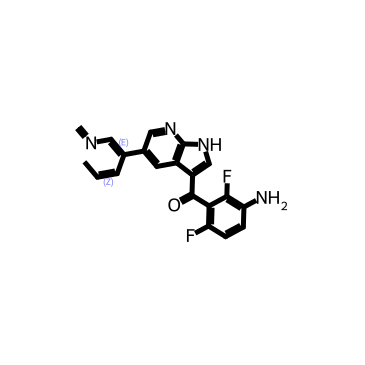 C=N/C=C(\C=C/C)c1cnc2[nH]cc(C(=O)c3c(F)ccc(N)c3F)c2c1